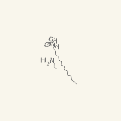 CCCCCCCCCCCCCCNC(=O)O.CCCN